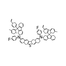 C=CC1=CC=C(C2(C3CC(C)=CC=C3C)C3=C(C=CCC3)C3=C2CC(N(C2=CC4CC5C6=C(CC7C=CC(N(c8ccc(F)cc8)C8C=CC9=C(C8)C(C8=CCC(C=C)C=C8)(C8=CC(C)=CCC8C)C8=C9C=CCC8)=CC7=C6)SC5C=C4CC2)c2ccc(F)cc2)C=C3)CC1